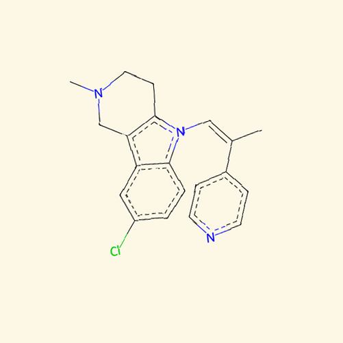 C/C(=C/n1c2c(c3cc(Cl)ccc31)CN(C)CC2)c1ccncc1